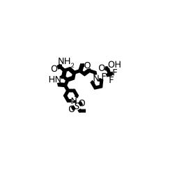 CCS(=O)(=O)N1CCC(c2c[nH]c3c(C(N)=O)cc(-c4coc(CN5CCCC5)c4)cc23)CC1.O=C(O)C(F)(F)F